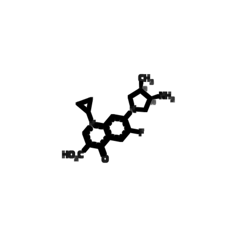 C[C@@H]1CN(c2cc3c(cc2F)c(=O)c(C(=O)O)cn3C2CC2)C[C@@H]1N